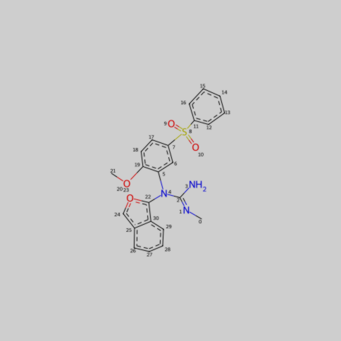 CN=C(N)N(c1cc(S(=O)(=O)c2ccccc2)ccc1OC)c1occ2ccccc12